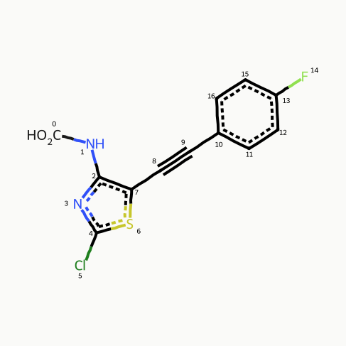 O=C(O)Nc1nc(Cl)sc1C#Cc1ccc(F)cc1